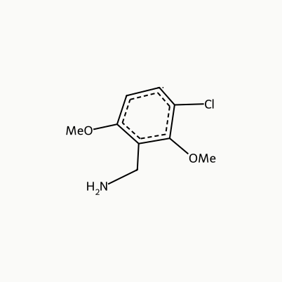 COc1c[c]c(Cl)c(OC)c1CN